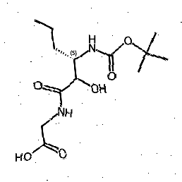 CCC[C@H](NC(=O)OC(C)(C)C)C(O)C(=O)NCC(=O)O